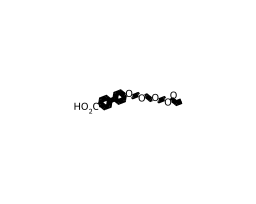 C=CC(=O)OCCOCCOCCOc1ccc(-c2ccc(C(=O)O)cc2)cc1